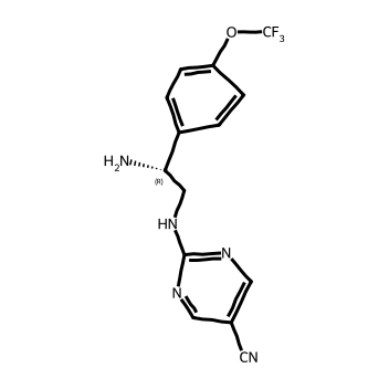 N#Cc1cnc(NC[C@H](N)c2ccc(OC(F)(F)F)cc2)nc1